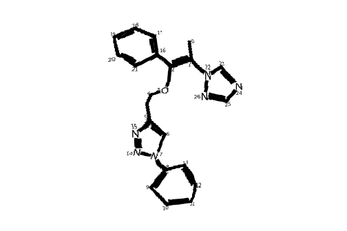 C/C(=C(/OCc1cn(-c2ccccc2)nn1)c1ccccc1)n1cncn1